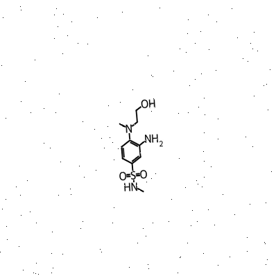 CNS(=O)(=O)c1ccc(N(C)CCO)c(N)c1